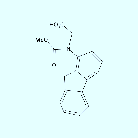 COC(=O)N(CC(=O)O)c1cccc2c1Cc1ccccc1-2